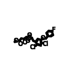 COC(=O)CC(=O)CS(=O)(=O)CCc1cc(OCc2ccc(F)cc2)c(Cl)cc1Cl